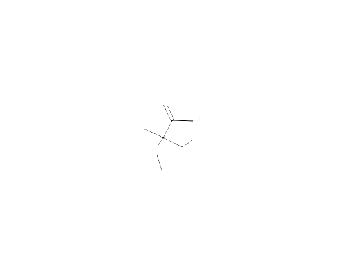 CCCCOC(CCCC)(CC(=O)O)C(O)=S